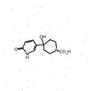 O=C(O)N1CCC(O)(c2ccc(=O)[nH]c2)CC1